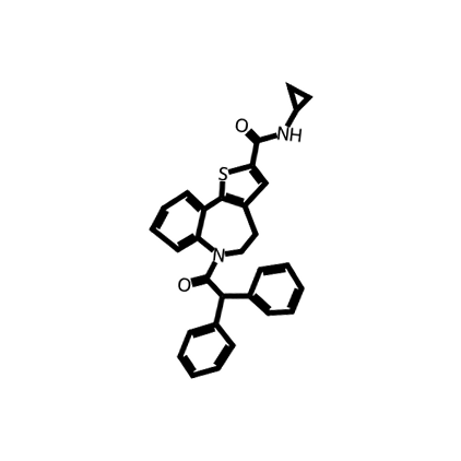 O=C(NC1CC1)c1cc2c(s1)-c1ccccc1N(C(=O)C(c1ccccc1)c1ccccc1)CC2